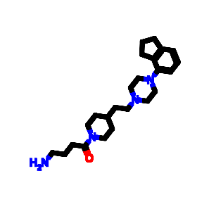 NCCCC(=O)N1CCC(CCN2CCN(c3cccc4c3CCC4)CC2)CC1